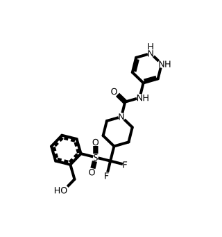 O=C(NC1=CNNC=C1)N1CCC(C(F)(F)S(=O)(=O)c2ccccc2CO)CC1